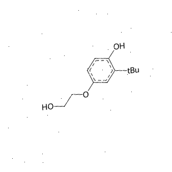 CC(C)(C)c1cc(OCCO)ccc1O